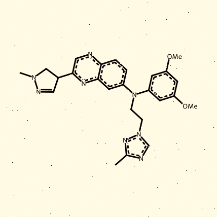 COc1cc(OC)cc(N(CCn2cnc(C)n2)c2ccc3ncc(C4C=NN(C)C4)nc3c2)c1